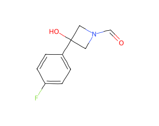 O=CN1CC(O)(c2ccc(F)cc2)C1